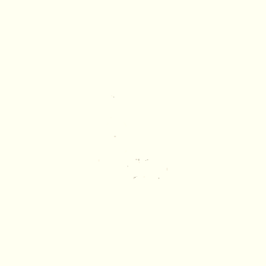 C[C@@H](O)[C@H]1C(=O)N2C(C(=O)O)=C(c3ccc(CN4CCOCC4)cc3)C[C@H]12